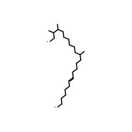 [CH2]CCCCC/C=C/CCCCC(C)CCCCCCC(C)C(C)C[CH2]